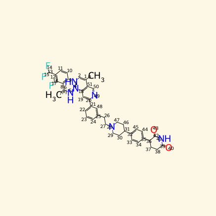 CC1=CNN(N[C@H](C)c2cccc(C(F)F)c2F)c2cc(-c3cccc(CCN4CCC(c5ccc(C6CCC(=O)NC6=O)cc5)CC4)c3)ncc21